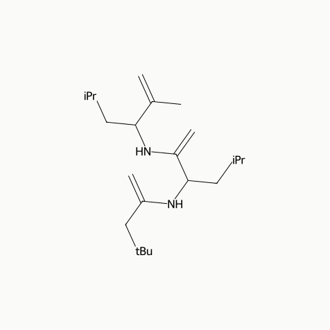 C=C(CC(C)(C)C)NC(CC(C)C)C(=C)NC(CC(C)C)C(=C)C